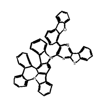 c1ccc2c(c1)-c1ccccc1-n1c3ccccc3c3cc4c(c-2c31)c1ccccc1n4-c1nc2sc3ccccc3c2nc1-c1cccc2c1oc1ccccc12